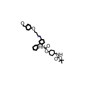 CC(C)(C)OC(=O)NC1CCC(OC(=O)Nc2ccc(/C=C/CCOc3ccc(C=O)cc3)cc2-c2ccccc2)CC1